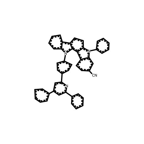 N#Cc1ccc2c3c(ccc4c5ccccc5n(-c5ccc(-c6cc(-c7ccccc7)cc(-c7ccccc7)n6)cc5)c43)n(-c3ccccc3)c2c1